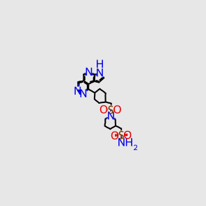 NS(=O)(=O)CC1CCCN(S(=O)(=O)CC2CCC(c3nncc4cnc5[nH]ccc5c34)CC2)C1